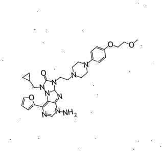 COCCOc1ccc(N2CCN(CCN3C(=O)N(CC4CC4)N4C5=C(c6ccco6)N=CN(N)C5=NC34)CC2)cc1